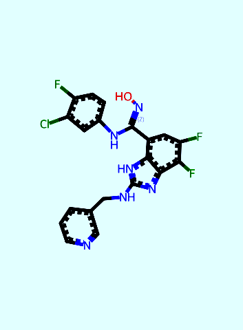 O/N=C(\Nc1ccc(F)c(Cl)c1)c1cc(F)c(F)c2nc(NCc3cccnc3)[nH]c12